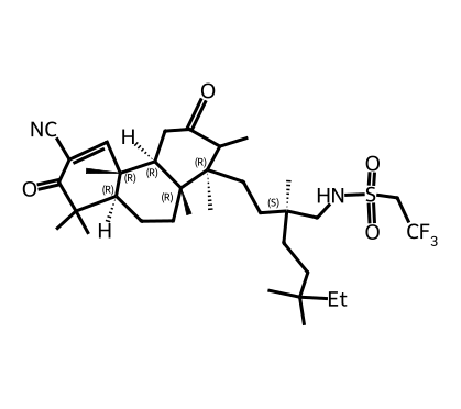 CCC(C)(C)CC[C@@](C)(CC[C@]1(C)C(C)C(=O)C[C@@H]2[C@@]3(C)C=C(C#N)C(=O)C(C)(C)[C@@H]3CC[C@]21C)CNS(=O)(=O)CC(F)(F)F